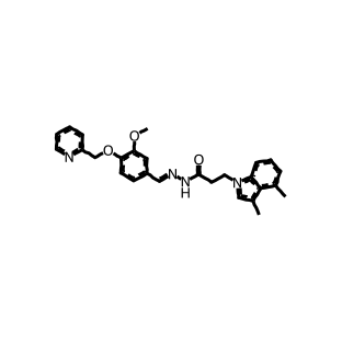 COc1cc(C=NNC(=O)CCn2cc(C)c3c(C)cccc32)ccc1OCc1ccccn1